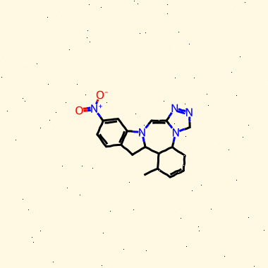 CC1C=CCC2C1C1Cc3ccc([N+](=O)[O-])cc3N1C=C1N=NCN12